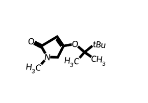 CN1CC(OC(C)(C)C(C)(C)C)=CC1=O